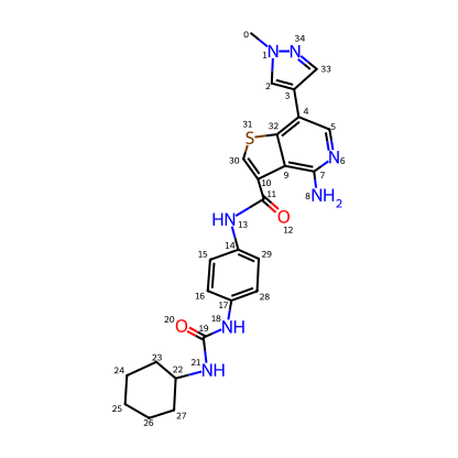 Cn1cc(-c2cnc(N)c3c(C(=O)Nc4ccc(NC(=O)NC5CCCCC5)cc4)csc23)cn1